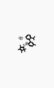 CC1=C(C)C(C)(C)[C]([Ti+2][O]c2ccc(C)cc2-c2ccccc2C(C)C)=C1C.[Cl-].[Cl-]